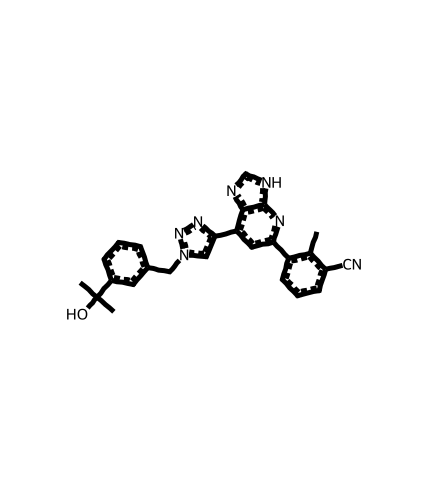 Cc1c(C#N)cccc1-c1cc(-c2cn(Cc3cccc(C(C)(C)O)c3)nn2)c2nc[nH]c2n1